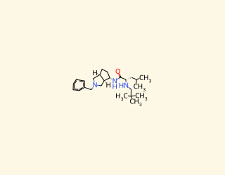 CC(C)C[C@H](NCC(C)(C)C)C(=O)N[C@H]1CC[C@@H]2CN(Cc3ccccc3)C[C@@H]21